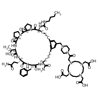 CCCCNC(=O)N[C@H]1CSCc2cc(cc(CN3CCN(C(=O)CN4CCN(CC(=O)O)CCN(CC(=O)O)CCN(CC(=O)O)CC4)CC3)c2)CSC[C@@H](C(N)=O)NC(=O)[C@H](Cc2ccccc2)NC(=O)[C@H](CCC(N)=O)NC(=O)[C@H]([C@@H](C)O)NC(=O)[C@@H]2CCCN2C(=O)[C@@H]2CCCN2C1=O